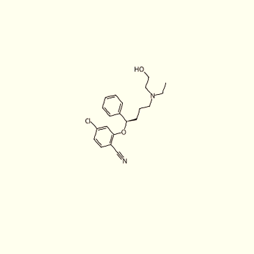 CCN(CCO)CCC[C@@H](Oc1cc(Cl)ccc1C#N)c1ccccc1